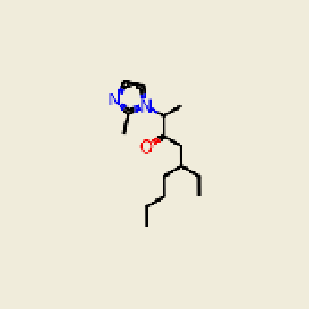 CCCCC(CC)CC(=O)C(C)n1ccnc1C